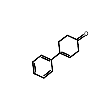 O=C1CC=C(c2ccccc2)CC1